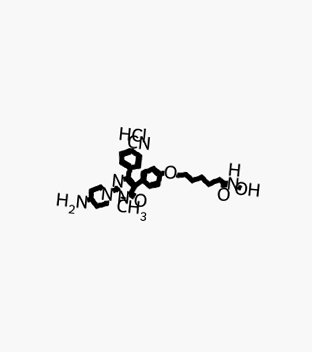 Cl.Cn1c(N2CCC(N)CC2)nc(-c2ccc(C#N)cc2)c(-c2ccc(OCCCCCCC(=O)NO)cc2)c1=O